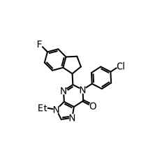 CCn1cnc2c(=O)n(-c3ccc(Cl)cc3)c(C3CCc4cc(F)ccc43)nc21